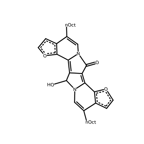 CCCCCCCCC1=CN2C(=O)C3=C4c5occc5C(CCCCCCCC)=CN4C(O)C3=C2c2occc21